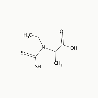 CCN(C(=S)S)C(C)C(=O)O